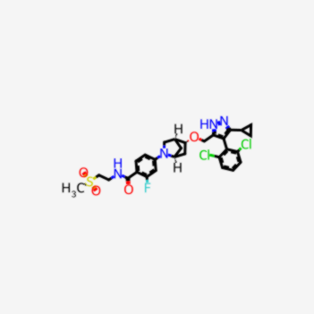 CS(=O)(=O)CCNC(=O)c1ccc(N2C[C@@H]3C[C@H]2C[C@H]3OCc2[nH]nc(C3CC3)c2-c2c(Cl)cccc2Cl)cc1F